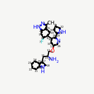 Cc1n[nH]c2cc(F)c(-c3cc(OC[C@@H](N)Cc4c[nH]c5ccccc45)cnc3-c3ccc[nH]3)cc12